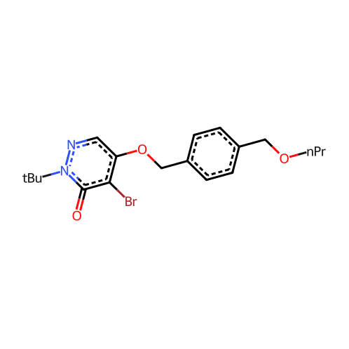 CCCOCc1ccc(COc2cnn(C(C)(C)C)c(=O)c2Br)cc1